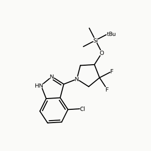 CC(C)(C)[Si](C)(C)OC1CN(c2n[nH]c3cccc(Cl)c23)CC1(F)F